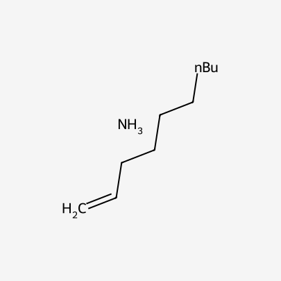 C=CCCCCCCCC.N